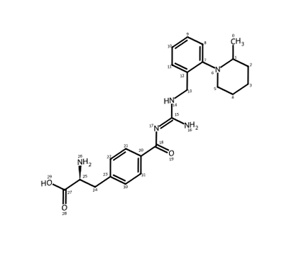 CC1CCCCN1c1ccccc1CN/C(N)=N/C(=O)c1ccc(C[C@H](N)C(=O)O)cc1